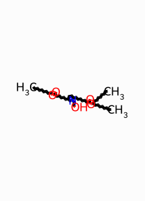 CCCCCCCCCOC(=O)CCCCCC1CCC(CCCCCCC(=O)OC(CCCCCCCC)CCCCCCCC)N(CCO)C1